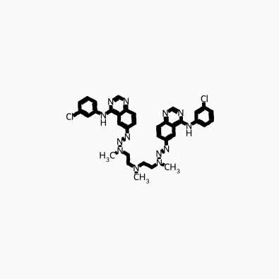 CN(CCN(C)N=Nc1ccc2ncnc(Nc3cccc(Cl)c3)c2c1)CCN(C)N=Nc1ccc2ncnc(Nc3cccc(Cl)c3)c2c1